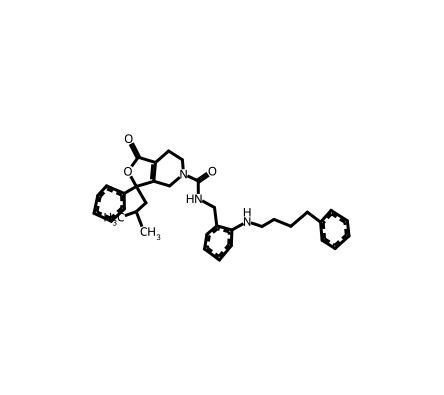 CC(C)CC1(c2ccccc2)OC(=O)C2=C1CN(C(=O)NCc1ccccc1NCCCCc1ccccc1)CC2